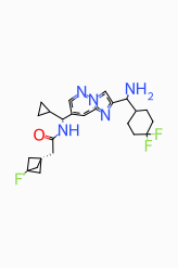 N[C@H](c1cn2ncc([C@H](NC(=O)C[C@]34C[C@@](F)(C3)C4)C3CC3)cc2n1)C1CCC(F)(F)CC1